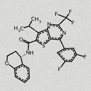 CC(C)c1c(C(=O)N[C@H]2CCOc3ccccc32)sc2c(-c3cc(F)cc(F)c3)nc(C(F)(F)F)nc12